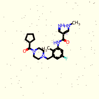 CN/C=C(\C=N)C(=O)Nc1cc(F)cc(CN2CCN(C(=O)C3CCCC3)CC2)c1C